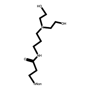 CCCCCCCCCCCC(=O)NCCCN(CCO)CCO